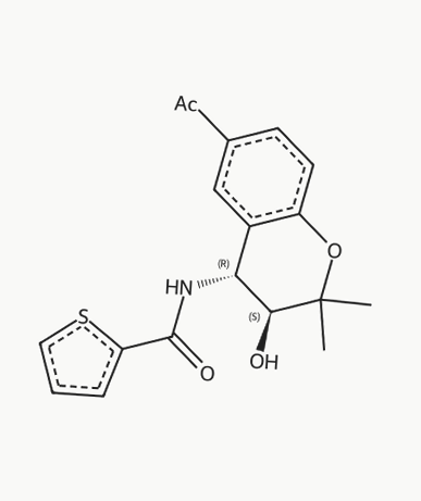 CC(=O)c1ccc2c(c1)[C@@H](NC(=O)c1cccs1)[C@H](O)C(C)(C)O2